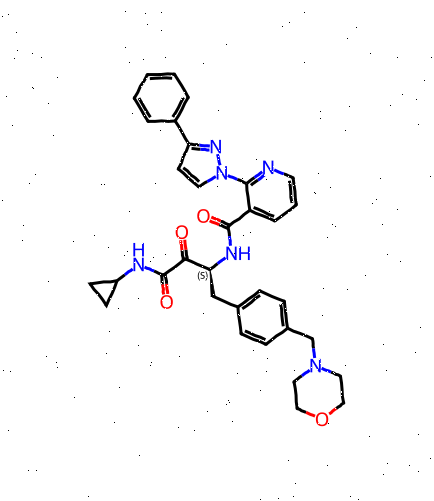 O=C(NC1CC1)C(=O)[C@H](Cc1ccc(CN2CCOCC2)cc1)NC(=O)c1cccnc1-n1ccc(-c2ccccc2)n1